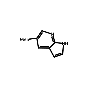 CSc1cnc2[nH]ccc2c1